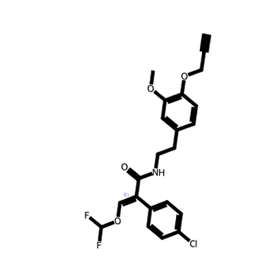 C#CCOc1ccc(CCNC(=O)/C(=C/OC(F)F)c2ccc(Cl)cc2)cc1OC